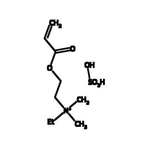 C=CC(=O)OCC[N+](C)(C)CC.O=S(=O)(O)O